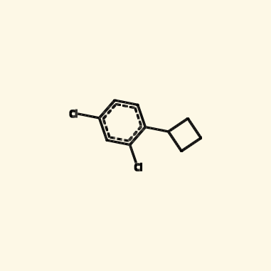 Clc1ccc(C2CCC2)c(Cl)c1